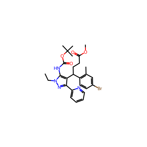 CCn1nc(-c2ccccn2)c(C(CCC(=O)OC)c2ccc(Br)cc2C)c1NC(=O)OC(C)(C)C